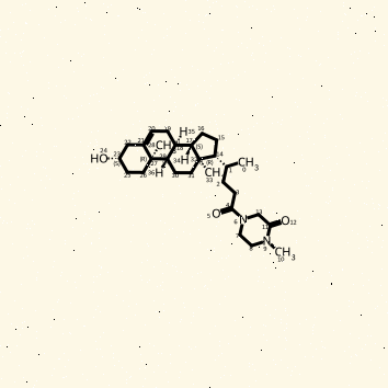 CC(CCC(=O)N1CCN(C)C(=O)C1)[C@H]1CC[C@H]2[C@@H]3CC=C4C[C@@H](O)CC[C@]4(C)[C@H]3CC[C@]12C